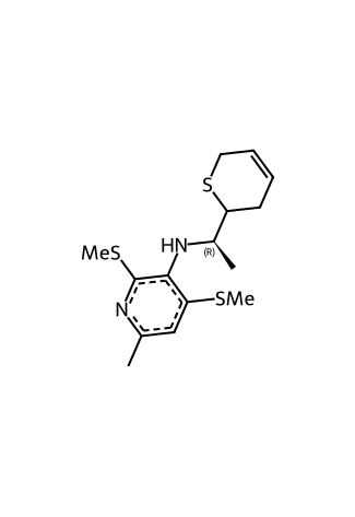 CSc1cc(C)nc(SC)c1N[C@H](C)C1CC=CCS1